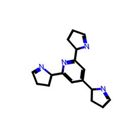 C1=NC(c2cc(C3CCC=N3)nc(C3CCC=N3)c2)CC1